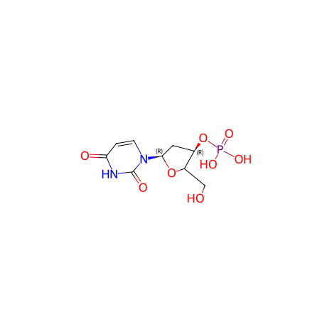 O=c1ccn([C@H]2C[C@@H](OP(=O)(O)O)C(CO)O2)c(=O)[nH]1